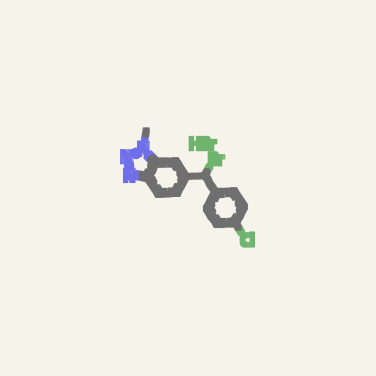 Br.Cn1nnc2ccc(C(Br)c3ccc(Cl)cc3)cc21